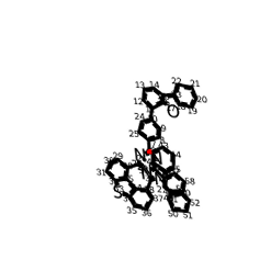 c1ccc(-c2nc(-c3ccc(-c4cccc5c4oc4ccccc45)cc3)nc(-c3cccc4sc5cccc(-c6nc7ccccc7n6-c6ccccc6)c5c34)n2)cc1